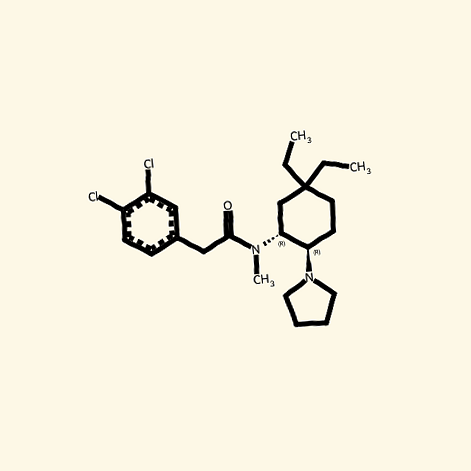 CCC1(CC)CC[C@@H](N2CCCC2)[C@H](N(C)C(=O)Cc2ccc(Cl)c(Cl)c2)C1